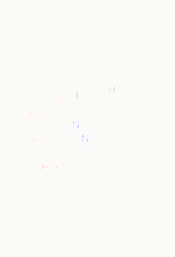 CC1(C)CC(Cn2cc(O)c(=O)c(C(=O)O)n2)(c2ccccc2)C1